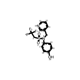 O=S(=O)(CC(F)(F)F)N(Cc1cccnc1)c1ccc(O)cc1